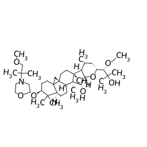 CCO[C@@H]([C@H]1C[C@@H](C)[C@H]2[C@H](O1)[C@H](O)[C@@]1(C)[C@@H]3CC[C@H]4C(C)(C)[C@@H](O[C@H]5CN(C(C)(C)COC)CCO5)CCC45C[C@@]35CC[C@]21C)C(C)(C)O